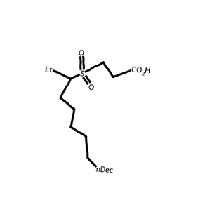 CCCCCCCCCCCCCCCC(CC)S(=O)(=O)CCC(=O)O